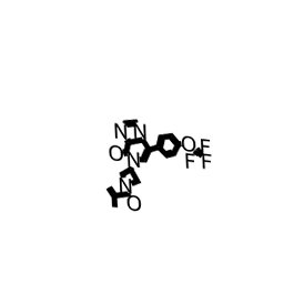 C=C(C)C(=O)N1CC(n2cc(-c3ccc(OC(F)(F)F)cc3)c3nccnc3c2=O)C1